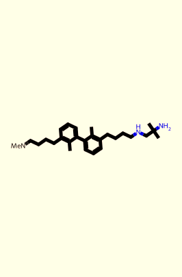 CNCCCCc1cccc(-c2cccc(CCCCNCC(C)(C)N)c2C)c1C